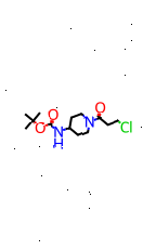 CC(C)(C)OC(=O)NC1CCN(C(=O)CCCl)CC1